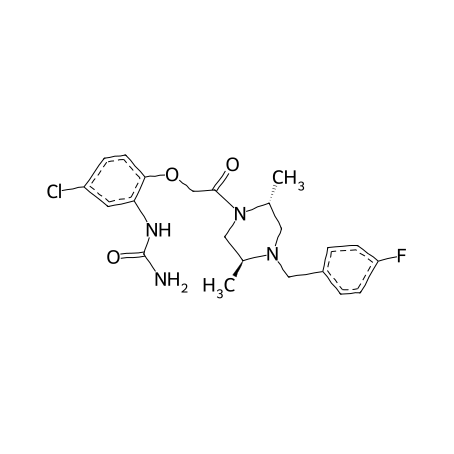 C[C@@H]1CN(Cc2ccc(F)cc2)[C@@H](C)CN1C(=O)COc1ccc(Cl)cc1NC(N)=O